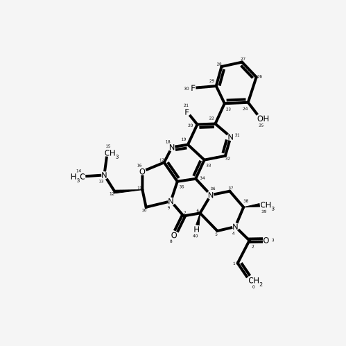 C=CC(=O)N1C[C@@H]2C(=O)N3C[C@@H](CN(C)C)Oc4nc5c(F)c(-c6c(O)cccc6F)ncc5c(c43)N2C[C@H]1C